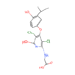 CC(C)c1cc(Oc2c(Cl)c(O)nc(NCC(=O)O)c2Cl)ccc1O